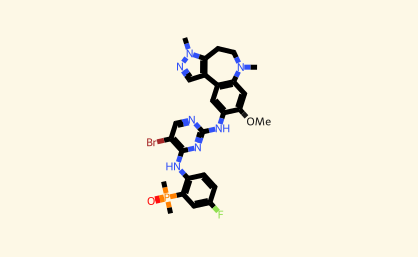 COc1cc2c(cc1Nc1ncc(Br)c(Nc3ccc(F)cc3P(C)(C)=O)n1)-c1cnn(C)c1CCN2C